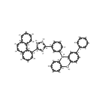 c1ccc(-c2ccc3c(c2)N(c2cccc(-c4nc(-c5cccc6ccc7ccccc7c56)ns4)c2)c2ccccc2O3)cc1